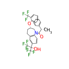 C[C@H](C(=O)N1C[C@@H](Oc2ccccc2C(F)(F)F)CCc2cc(C(O)(C(F)(F)F)C(F)(F)F)ccc21)c1ccccc1